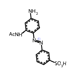 CC(=O)Nc1cc(N)ccc1/N=N/c1cccc(S(=O)(=O)O)c1